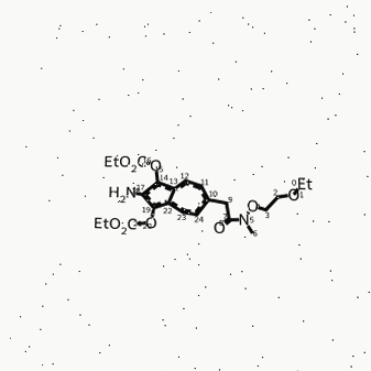 CCOCCON(C)C(=O)Cc1ccc2c(OC(=O)OCC)c(N)c(OC(=O)OCC)c-2cc1